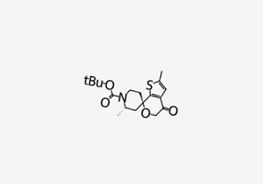 Cc1cc2c(s1)[C@]1(CCN(C(=O)OC(C)(C)C)[C@@H](C)C1)OCC2=O